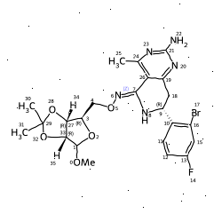 COC1O[C@H](CO/N=C2\N[C@@H](c3ccc(F)cc3Br)Cc3nc(N)nc(C)c32)[C@H]2OC(C)(C)O[C@@H]12